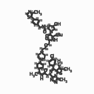 Cc1ncsc1-c1ccc(CNC(=O)[C@@H]2C[C@@H](O)CN2C(=O)C(NC(=O)COCCN2CCN(c3ccc([C@H](C)NC(=O)C[C@@H]4N=C(c5ccc(Cl)cc5)c5c(sc(C)c5C)-n5c(C)nnc54)cc3)CC2)C(C)(C)C)cc1